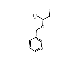 CCC(N)OCc1cbccc1